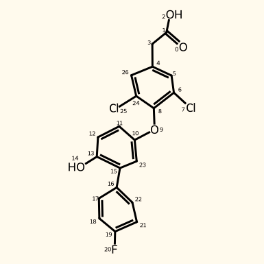 O=C(O)Cc1cc(Cl)c(Oc2ccc(O)c(-c3ccc(F)cc3)c2)c(Cl)c1